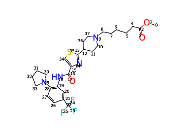 COC(=O)CCCCCN1CCC(c2nc(C(=O)Nc3cc(C(F)(F)F)ccc3N3CCCC3)cs2)CC1